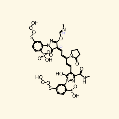 C/N=C/OC1=NN(c2cc(SOOO)ccc2S(=O)(=O)O)C(=O)/C1=C\C=C(C=Cc1c(C(=O)NC)nn(-c2cc(SOOO)ccc2S(=O)O)c1O)N1CCCC1=O